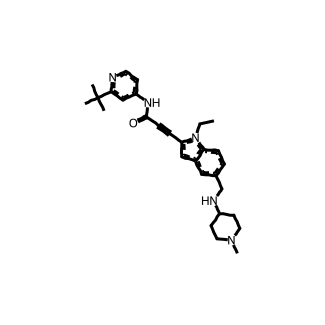 CCn1c(C#CC(=O)Nc2ccnc(C(C)(C)C)c2)cc2cc(CNC3CCN(C)CC3)ccc21